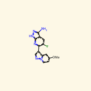 COc1ccn2ncc(-c3nc4[nH]nc(N)c4cc3F)c2c1